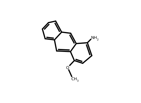 COc1ccc(N)c2cc3ccccc3cc12